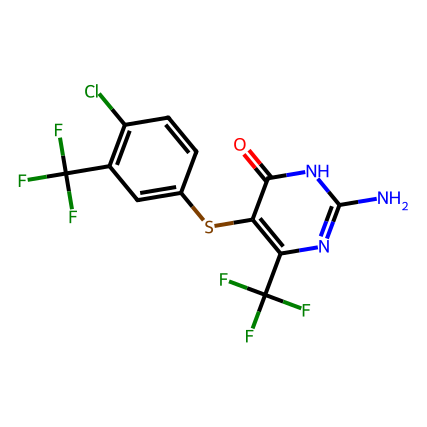 Nc1nc(C(F)(F)F)c(Sc2ccc(Cl)c(C(F)(F)F)c2)c(=O)[nH]1